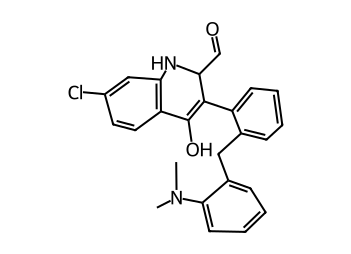 CN(C)c1ccccc1Cc1ccccc1C1=C(O)c2ccc(Cl)cc2NC1C=O